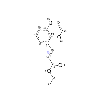 CCOC(=O)/C=C/c1cccc2c1OC=CO2